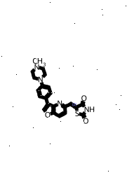 CN1CCN(c2ccc(-c3coc4ccc(/C=C5\SC(=O)NC5=O)nc34)cc2)CC1